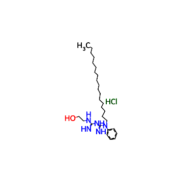 CCCCCCCCCCCCCCCCCCN(C(=N)NC(=N)NCCO)c1ccccc1.Cl